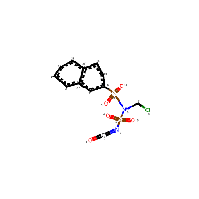 O=C=NS(=O)(=O)N(CCl)S(=O)(=O)c1ccc2ccccc2c1